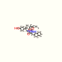 CC(C)(C)OC(=O)N[C@@H](Cc1ccc2ccccc2c1)C(=O)NCCc1ccc(O)cc1